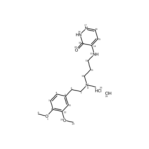 COc1ccc(CCN(C)CCCNc2ccn[nH]c2=O)cc1OC.Cl.Cl